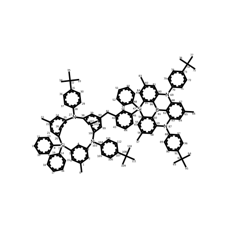 Cc1cc2cc(c1)[Si](c1ccccc1)(c1ccccc1)c1cc(C)cc(c1)N(c1ccc(C(C)(C)C)cc1)c1cc(Cc3cccc([Si]4(c5ccccc5)c5cc(C)cc6c5B5c7c(cc(C)cc7N(c7ccc(C(C)(C)C)cc7)c7cc(C)cc4c75)N6c4ccc(C(C)(C)C)cc4)c3)cc(c1Cl)N2c1ccc(C(C)(C)C)cc1